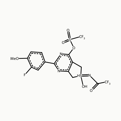 COc1ccc(-c2nc3c(c(OS(=O)(=O)C(F)(F)F)n2)C[SH](O)(=NC(=O)C(F)(F)F)C3)cc1F